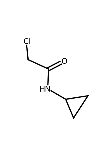 O=C(CCl)NC1CC1